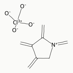 C=C1C[N+](=C)C(=C)C1=C.[O-][Cl+3]([O-])([O-])[O-]